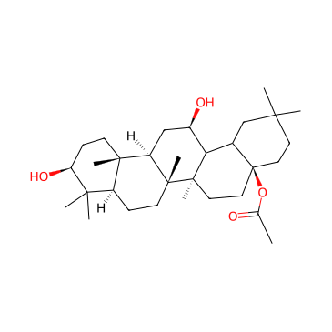 CC(=O)O[C@]12CCC(C)(C)CC1C1[C@H](O)C[C@@H]3[C@@]4(C)CC[C@H](O)C(C)(C)[C@@H]4CC[C@@]3(C)[C@]1(C)CC2